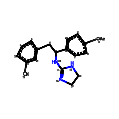 CC(=O)Oc1ccc(C(Cc2cccc(C#N)c2)NC2=NCCN2)cc1